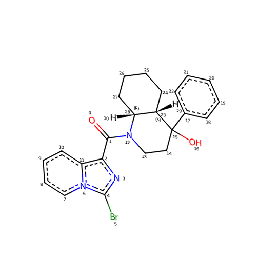 O=C(c1nc(Br)n2ccccc12)N1CCC(O)(c2ccccc2)[C@H]2CCCC[C@H]21